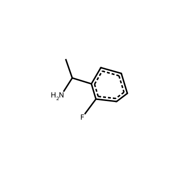 CC(N)c1ccccc1F